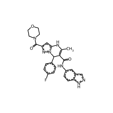 CC1=C(C(=O)Nc2ccc3[nH]ncc3c2)C(c2ccc(F)cc2)n2nc(C(=O)N3CCOCC3)cc2N1